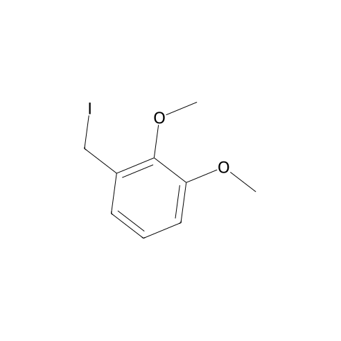 COc1cccc(CI)c1OC